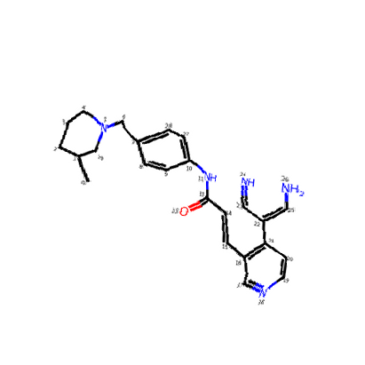 CC1CCCN(Cc2ccc(NC(=O)/C=C/c3cnccc3/C(C=N)=C/N)cc2)C1